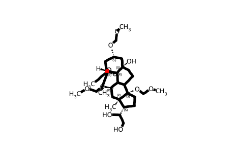 COCO[C@H]1C[C@H]2OC(C)(C)OC[C@]23C2C(CC[C@]3(O)C1)[C@@]1(OCOC)CC[C@H](C(O)CO)[C@@]1(C)C[C@H]2OCOC